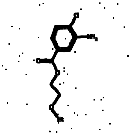 CCOCCOC(=O)c1ccc(Cl)c(N)c1